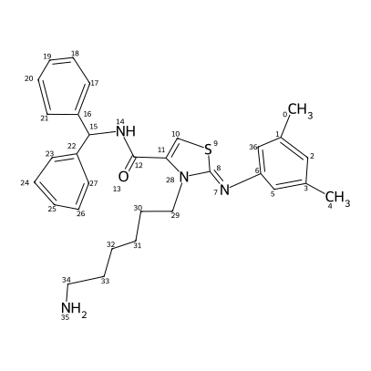 Cc1cc(C)cc(/N=c2\scc(C(=O)NC(c3ccccc3)c3ccccc3)n2CCCCCCN)c1